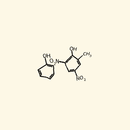 Cc1cc([N+](=O)[O-])cc([N+](=O)[O-])c1O.Oc1ccccc1